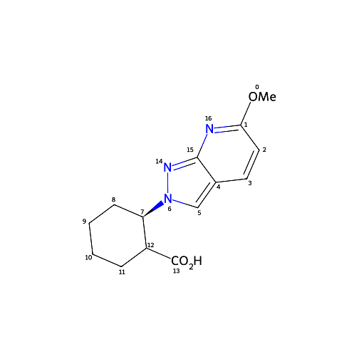 COc1ccc2cn([C@@H]3CCCCC3C(=O)O)nc2n1